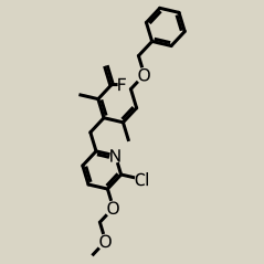 C=C(F)/C(C)=C(Cc1ccc(OCOC)c(Cl)n1)\C(C)=C/COCc1ccccc1